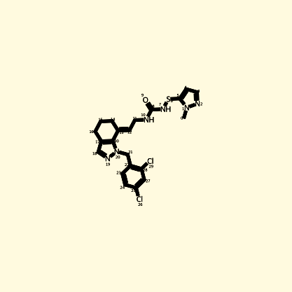 Cn1nccc1SNC(=O)NC/C=C1\CCCc2cnn(Cc3ccc(Cl)cc3Cl)c21